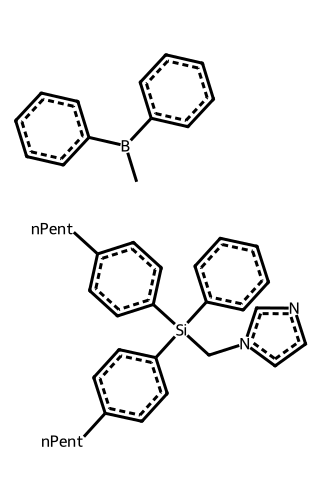 CB(c1ccccc1)c1ccccc1.CCCCCc1ccc([Si](Cn2ccnc2)(c2ccccc2)c2ccc(CCCCC)cc2)cc1